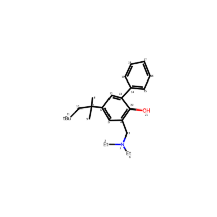 CCN(CC)Cc1cc(C(C)(C)CC(C)(C)C)cc(-c2ccccc2)c1O